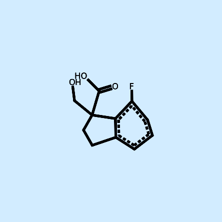 O=C(O)C1(CO)CCc2cccc(F)c21